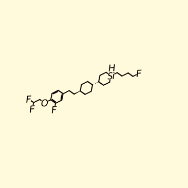 FCCCC[SiH]1CCC([C@H]2CC[C@H](CCc3ccc(OCC(F)F)c(F)c3)CC2)CC1